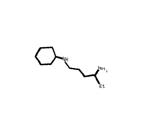 CCC(N)CCCNC1CCCCC1